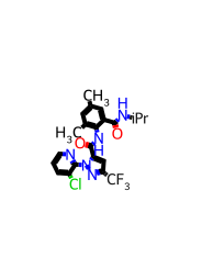 Cc1cc(C)c(NC(=O)c2cc(C(F)(F)F)nn2-c2ncccc2Cl)c(C(=O)NC(C)C)c1